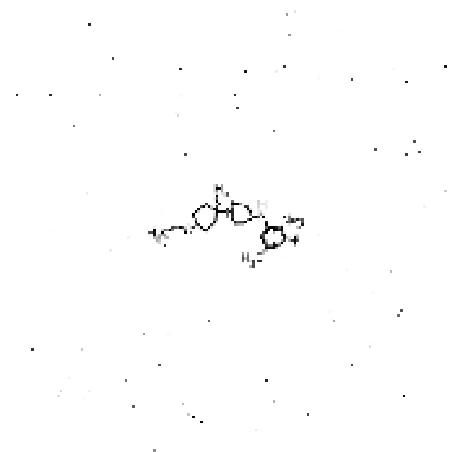 CCO[C@H]1CC[C@](C)(N2CCC(Nc3cc(C)cc(F)c3N=O)CC2)CC1